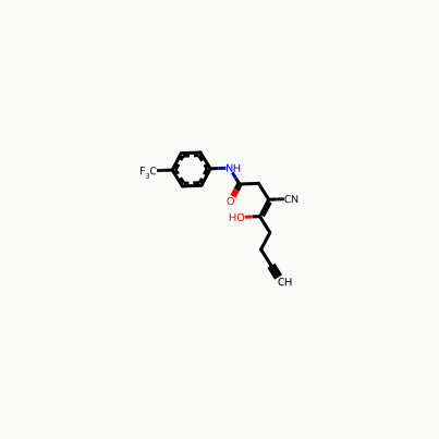 C#CCCC(O)=C(C#N)CC(=O)Nc1ccc(C(F)(F)F)cc1